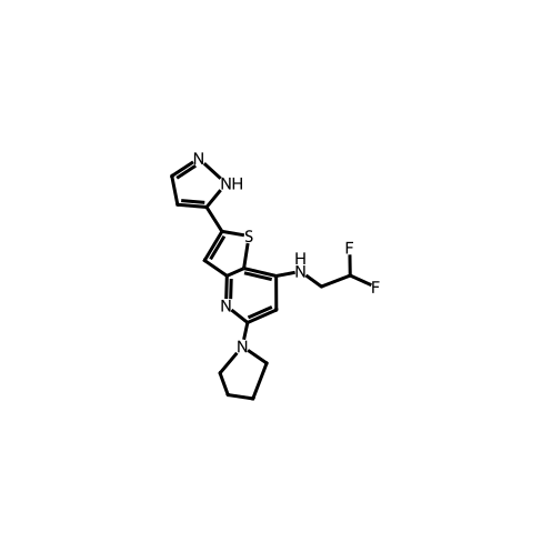 FC(F)CNc1cc(N2CCCC2)nc2cc(-c3ccn[nH]3)sc12